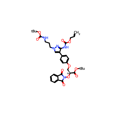 C=CCOC(=O)Nc1nn(CCCNC(=O)OC(C)(C)C)cc1-c1ccc(OC[C@H](ON2C(=O)c3ccccc3C2=O)C(=O)OC(C)(C)C)cc1